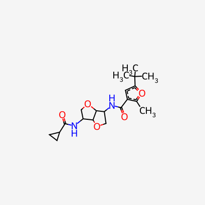 Cc1oc(C(C)(C)C)cc1C(=O)NC1COC2C(NC(=O)C3CC3)COC12